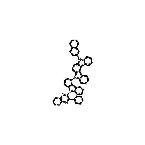 c1ccc(-c2nc3ccccc3nc2-n2c3ccccc3c3c(-n4c5ccccc5c5c6c7ccccc7n(-c7ccc8ccccc8c7)c6ccc54)cccc32)cc1